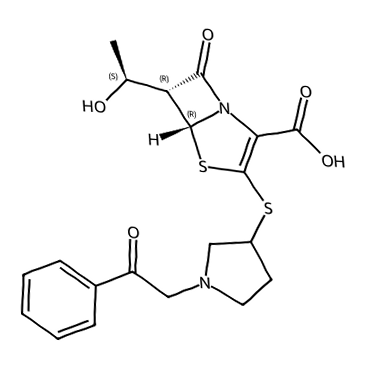 C[C@H](O)[C@@H]1C(=O)N2C(C(=O)O)=C(SC3CCN(CC(=O)c4ccccc4)C3)S[C@H]12